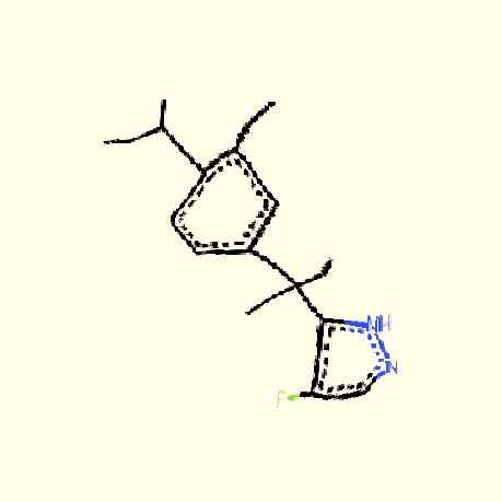 Cc1cc(C(C)(C)c2[nH]ncc2F)ccc1C(C)C